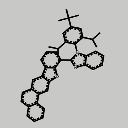 CC(C)c1cc(C(C)(C)C)cc(C(C)C)c1-n1c(-c2cccc3c2oc2cc4c(ccc5ccccc54)cc23)nc2ccccc21